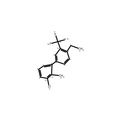 CCc1[c]cc(-c2cccc(Cl)c2C)cc1C(F)(F)F